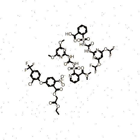 CCOC(=O)COC(=O)c1cc(Oc2ccc(C(F)(F)F)cc2Cl)ccc1[N+](=O)[O-].COc1cc(OC)nc(NC(=O)NS(=O)(=O)c2ncccc2C(=O)N(C)C)n1.O=C(Nc1nc(OC(F)F)cc(OC(F)F)n1)NS(=O)(=O)c1ccccc1C(=O)O